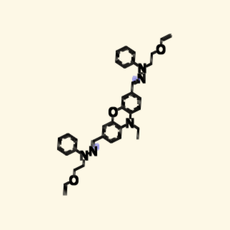 C=COCCN(/N=C/c1ccc2c(c1)Oc1cc(/C=N/N(CCOC=C)c3ccccc3)ccc1N2CC)c1ccccc1